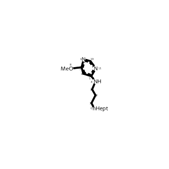 CCCCCCCCCCNc1cc(OC)ncn1